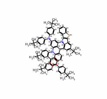 CC(C)(C)c1ccc(C(c2ccc(C(C)(C)C)cc2)c2ccc3c(c2)N(c2ccc(C(C)(C)C)cc2-c2ccccc2)c2cc(N(c4ccc(C(C)(C)C)cc4)c4ccc(C(C)(C)C)cc4)cc4c2B3c2cc(C(C)(C)C)cc3c5sc6ccccc6c5n-4c23)cc1